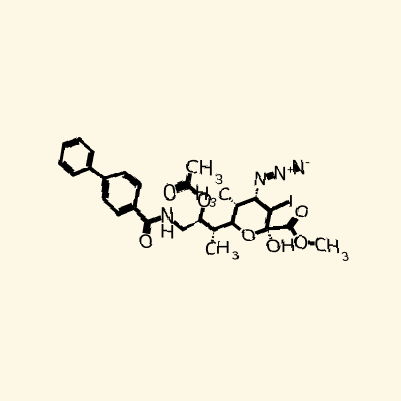 COC(=O)[C@@]1(O)OC([C@H](C)[C@@H](CNC(=O)c2ccc(-c3ccccc3)cc2)OC(C)=O)[C@H](C)[C@H](N=[N+]=[N-])C1I